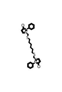 O=c1ccn(CSCCCCCCSCn2ccc(=O)n2-c2ccccc2)n1-c1ccccc1